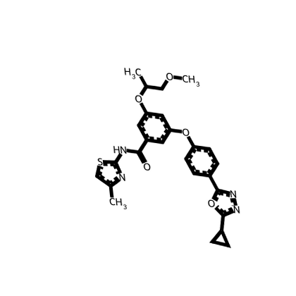 COCC(C)Oc1cc(Oc2ccc(-c3nnc(C4CC4)o3)cc2)cc(C(=O)Nc2nc(C)cs2)c1